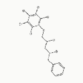 Clc1c(Cl)c(Cl)c(OCC(Cl)CC(Br)Cc2ccccc2)c(Cl)c1Cl